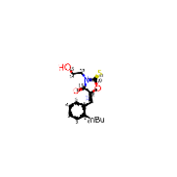 CCCCc1ccccc1/C=C1/OC(=S)N(CCO)C1=O